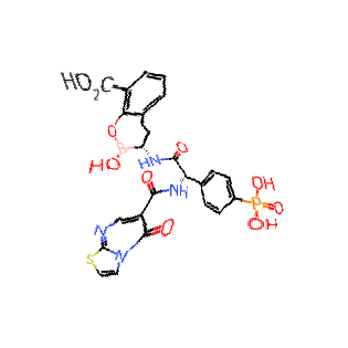 O=C(O)c1cccc2c1OB(O)[C@@H](NC(=O)[C@@H](NC(=O)c1cnc3sccn3c1=O)c1ccc(P(=O)(O)O)cc1)C2